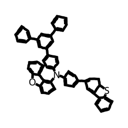 C1=C(c2ccc(N(c3ccc(-c4cc(-c5ccccc5)cc(-c5ccccc5)c4)cc3)c3cccc4oc5ccccc5c34)cc2)C=C2c3ccccc3SC2C1